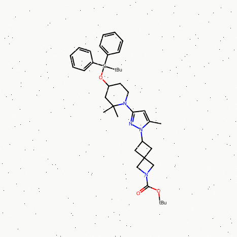 Cc1cc(N2CCC(O[Si](c3ccccc3)(c3ccccc3)C(C)(C)C)CC2(C)C)nn1C1CC2(C1)CN(C(=O)OC(C)(C)C)C2